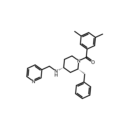 Cc1cc(C)cc(C(=O)N2CC[C@@H](NCc3cccnc3)C[C@H]2Cc2ccccc2)c1